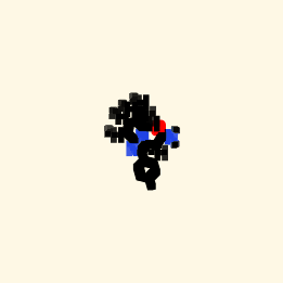 [2H]c1c(C([2H])([2H])[2H])c([2H])n2c(C([2H])C(=O)N(C)C)c(-c3ccc(C)cc3)nc2c1[2H]